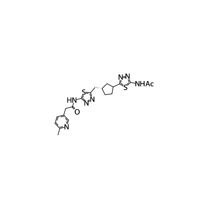 CC(=O)Nc1nnc(C2CC[C@H](Cc3nnc(NC(=O)Cc4ccc(C)nc4)s3)C2)s1